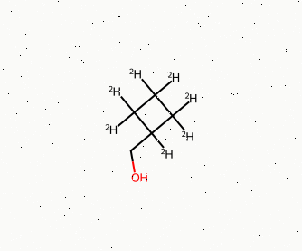 [2H]C1([2H])C([2H])([2H])C([2H])(CO)C1([2H])[2H]